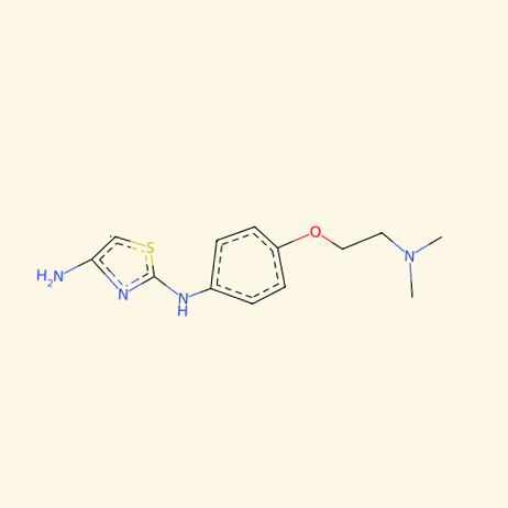 CN(C)CCOc1ccc(Nc2nc(N)[c]s2)cc1